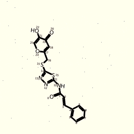 O=C(C=Cc1ccccc1)Nc1nnc(SCc2cc(=O)c(O)co2)s1